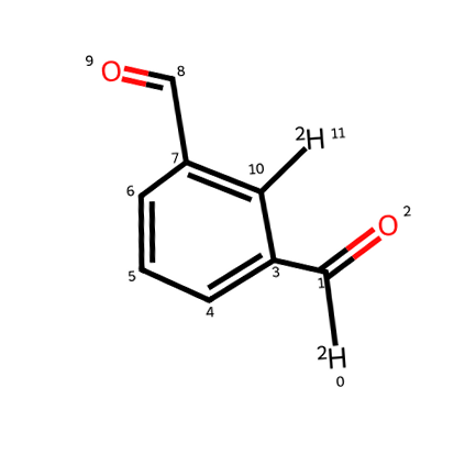 [2H]C(=O)c1cccc(C=O)c1[2H]